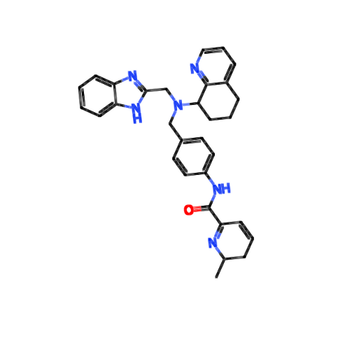 CC1CC=CC(C(=O)Nc2ccc(CN(Cc3nc4ccccc4[nH]3)C3CCCc4cccnc43)cc2)=N1